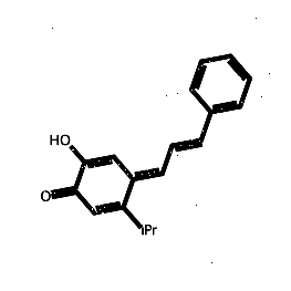 CC(C)C1=CC(=O)C(O)=CC1=CC=Cc1ccccc1